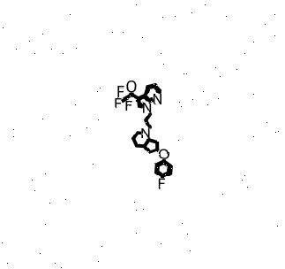 O=C(c1cn(CCCN2CCCC3CC(Oc4ccc(F)cc4)CC32)c2ncccc12)C(F)(F)F